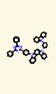 c1ccc(-c2nc(-c3ccccc3)nc(-c3ccc(-n4c5ccccc5c5c6c7ccccc7n(-c7cccc(-n8c9ccccc9c9ccccc98)c7)c6ccc54)cc3)n2)cc1